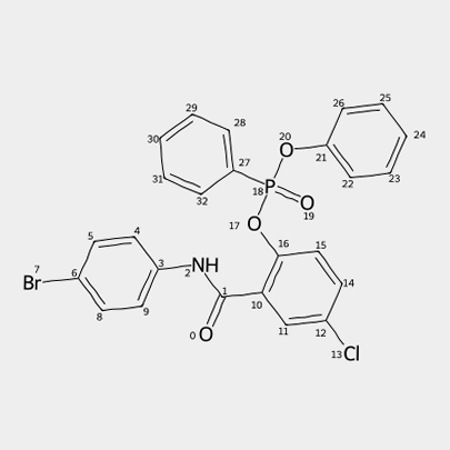 O=C(Nc1ccc(Br)cc1)c1cc(Cl)ccc1OP(=O)(Oc1ccccc1)c1ccccc1